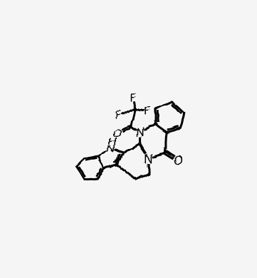 O=C1c2ccccc2N(C(=O)C(F)(F)F)C2c3[nH]c4ccccc4c3CCN12